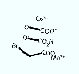 O=C([O-])CBr.O=C([O-])O.O=C([O-])[O-].[Co+2].[Mn+2]